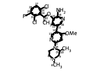 COc1cc(N2CCN(C)C[C@@H]2C)ncc1-c1cnc(N)c(O[C@H](C)c2c(Cl)ccc(F)c2Cl)c1